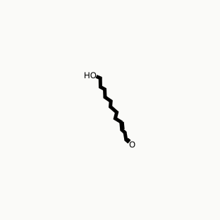 O=CC/C=C/CCCCCCCCO